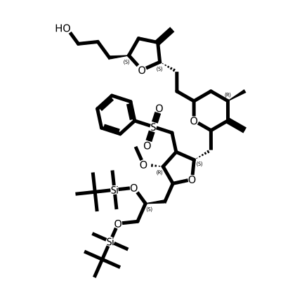 C=C1C(C[C@@H]2OC(C[C@@H](CO[Si](C)(C)C(C)(C)C)O[Si](C)(C)C(C)(C)C)[C@H](OC)C2CS(=O)(=O)c2ccccc2)OC(CC[C@@H]2O[C@@H](CCCO)CC2=C)C[C@H]1C